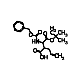 C=CCC(C(=O)O)C(NC(=O)OCc1ccccc1)C(=O)OC(C)(C)C